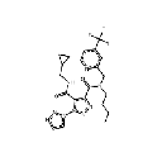 CCCCN(Cc1cc(C(F)(F)F)ccn1)C(=O)c1nnn(-n2ccnn2)c1C(=O)NCC1CC1